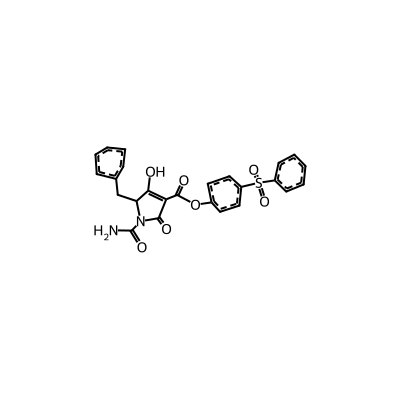 NC(=O)N1C(=O)C(C(=O)Oc2ccc(S(=O)(=O)c3ccccc3)cc2)=C(O)C1Cc1ccccc1